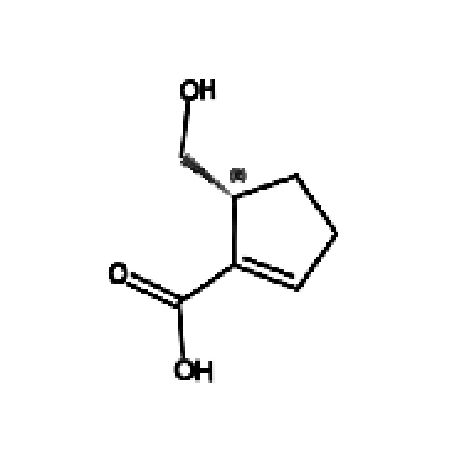 O=C(O)C1=CCC[C@H]1CO